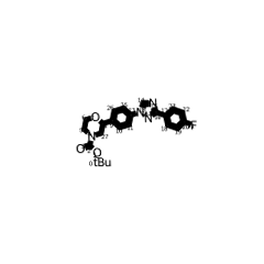 CC(C)(C)OC(=O)N1CCOC(c2ccc(-n3cnc(-c4ccc(F)cc4)n3)cc2)C1